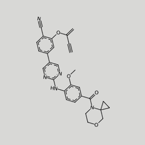 C#CC(=C)Oc1cc(-c2cnc(Nc3ccc(C(=O)N4CCOCC45CC5)cc3OC)nc2)ccc1C#N